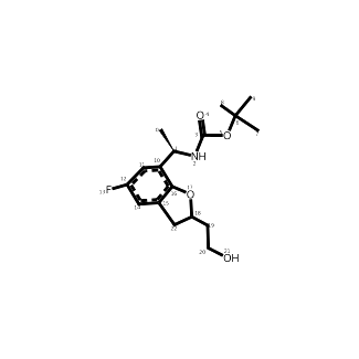 C[C@@H](NC(=O)OC(C)(C)C)c1cc(F)cc2c1OC(CCO)C2